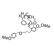 COCOc1ccc(CCCCOCc2ccc(OC)cc2)c(CSc2ccccc2)c1C(=O)OCC[Si](C)(C)C